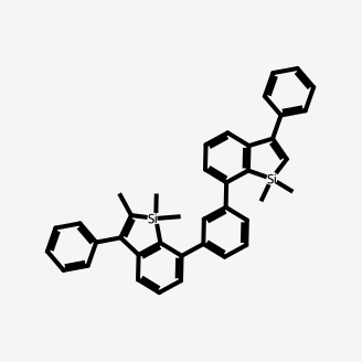 CC1=C(c2ccccc2)c2cccc(-c3cccc(-c4cccc5c4[Si](C)(C)C=C5c4ccccc4)c3)c2[Si]1(C)C